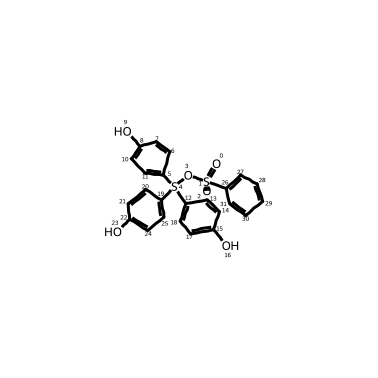 O=S(=O)(OS(c1ccc(O)cc1)(c1ccc(O)cc1)c1ccc(O)cc1)c1ccccc1